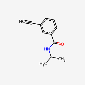 C#Cc1cccc(C(=O)NC(C)C)c1